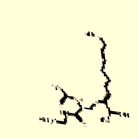 CCCCCCCCCCCCCCCCC=C(SC[C@H](NC(=O)C(F)(F)F)C(=O)NCC(=O)O)[C@@H](O)CCCC